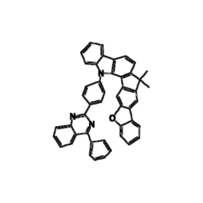 CC1(C)c2cc3c(cc2-c2c1ccc1c4ccccc4n(-c4ccc(-c5nc(-c6ccccc6)c6ccccc6n5)cc4)c21)oc1ccccc13